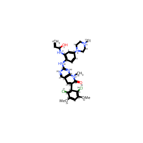 C=CC(O)Nc1cc(N2CCN(CC)CC2)ccc1Nc1ncc2cc(-c3c(Cl)c(OC)cc(OC)c3Cl)c(=O)n(C)c2n1